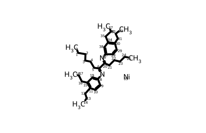 CCCCCCC(=Nc1ccc(CCC)c(CCC)c1)C(CCCCC)=Nc1ccc(CCC)c(CCC)c1.[Ni]